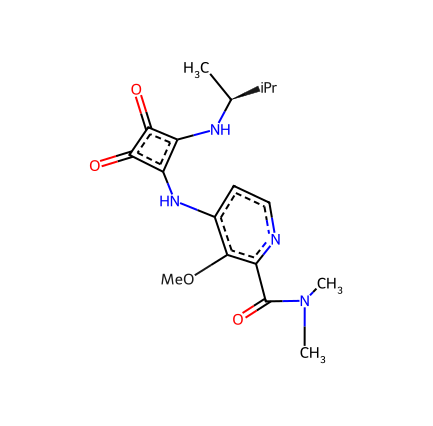 COc1c(Nc2c(N[C@@H](C)C(C)C)c(=O)c2=O)ccnc1C(=O)N(C)C